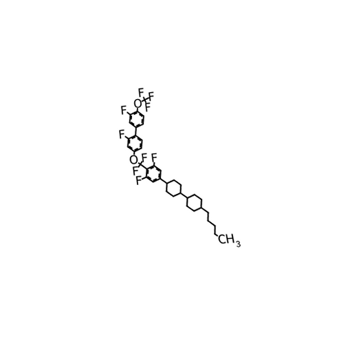 CCCCCC1CCC(C2CCC(c3cc(F)c(C(F)(F)Oc4ccc(-c5ccc(OC(F)(F)F)c(F)c5)c(F)c4)c(F)c3)CC2)CC1